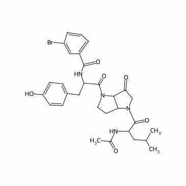 CC(=O)NC(CC(C)C)C(=O)N1CC(=O)C2C1CCN2C(=O)C(Cc1ccc(O)cc1)NC(=O)c1cccc(Br)c1